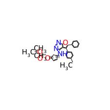 CCc1ccc(-c2c(-c3ccccc3)oc3ncnc(N[C@@H]4C=C[C@@H](OCC(=O)OC(C)(C)C)C4)c23)cc1